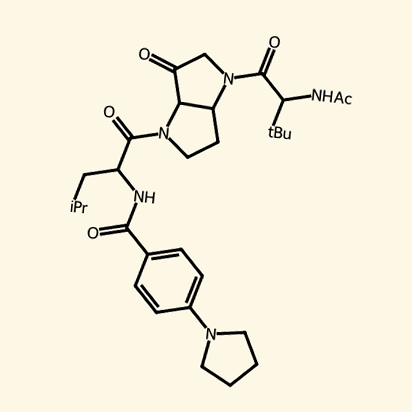 CC(=O)NC(C(=O)N1CC(=O)C2C1CCN2C(=O)C(CC(C)C)NC(=O)c1ccc(N2CCCC2)cc1)C(C)(C)C